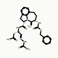 C=C1[C@@H](NC(=O)OCc2ccccc2)CCc2cccc3c2N1[C@H](C(=O)N[C@H](/C=N/NC(N)=O)CC(=O)O)C3